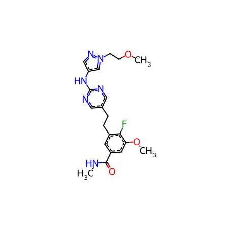 CNC(=O)c1cc(CCc2cnc(Nc3cnn(CCOC)c3)nc2)c(F)c(OC)c1